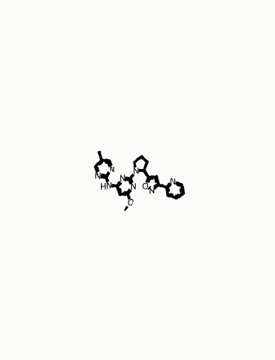 COc1cc(Nc2ncc(C)cn2)nc(N2CCCC2c2cc(-c3ccccn3)no2)n1